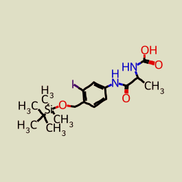 CC(NC(=O)O)C(=O)Nc1ccc(CO[Si](C)(C)C(C)(C)C)c(I)c1